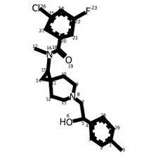 Cc1ccc(C(O)CN2CCC3(CC2)CC3N(C)C(=O)c2cc(F)cc(Cl)c2)cc1